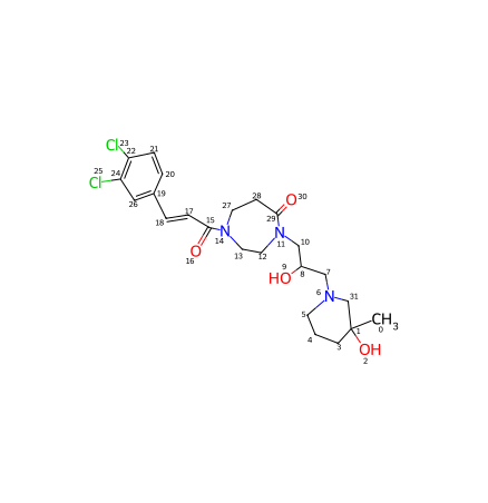 CC1(O)CCCN(CC(O)CN2CCN(C(=O)/C=C/c3ccc(Cl)c(Cl)c3)CCC2=O)C1